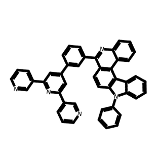 c1ccc(-n2c3ccccc3c3c4c(ccc32)c(-c2cccc(-c3cc(-c5cccnc5)nc(-c5cccnc5)c3)c2)nc2ccccc24)cc1